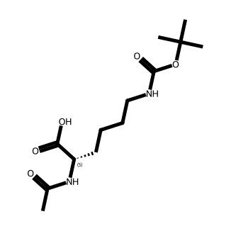 CC(=O)N[C@@H](CCCCNC(=O)OC(C)(C)C)C(=O)O